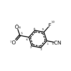 N#Cc1ccc(C([O])=O)cc1F